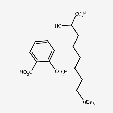 CCCCCCCCCCCCCCCCC(O)C(=O)O.O=C(O)c1ccccc1C(=O)O